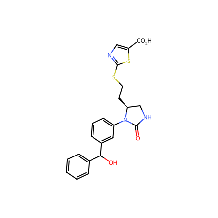 O=C(O)c1cnc(SCC[C@H]2CNC(=O)N2c2cccc(C(O)c3ccccc3)c2)s1